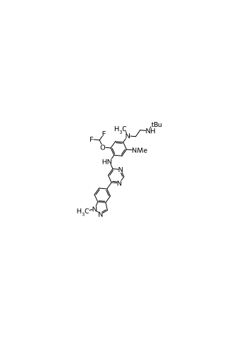 CNc1cc(Nc2cc(-c3ccc4c(cnn4C)c3)ncn2)c(OC(F)F)cc1N(C)CCNC(C)(C)C